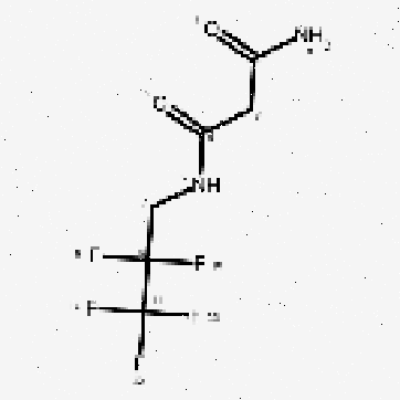 NC(=O)CC(=O)NCC(F)(F)C(F)(F)F